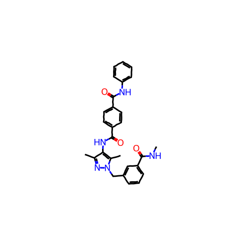 CNC(=O)c1cccc(Cn2nc(C)c(NC(=O)c3ccc(C(=O)Nc4ccccc4)cc3)c2C)c1